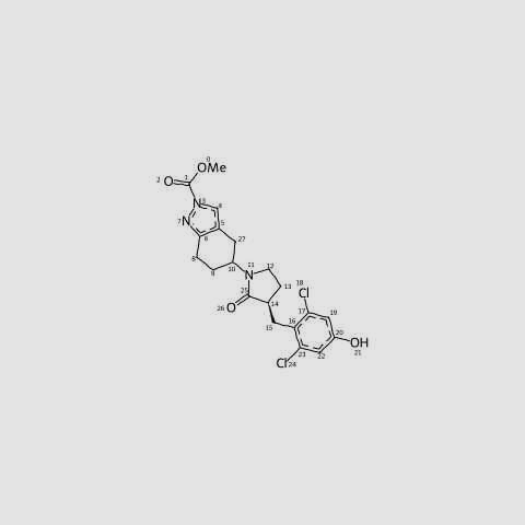 COC(=O)n1cc2c(n1)CCC(N1CC[C@@H](Cc3c(Cl)cc(O)cc3Cl)C1=O)C2